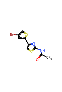 O=C(Nc1nc(-c2cc(Br)cs2)cs1)C(F)(F)F